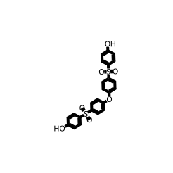 O=S(=O)(c1ccc(O)cc1)c1ccc(Oc2ccc(S(=O)(=O)c3ccc(O)cc3)cc2)cc1